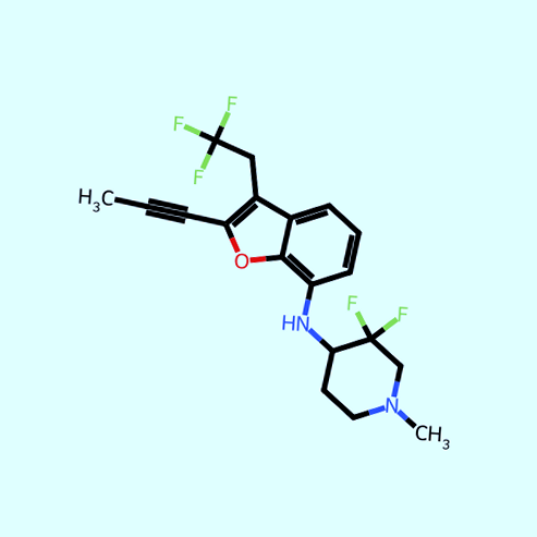 CC#Cc1oc2c(NC3CCN(C)CC3(F)F)cccc2c1CC(F)(F)F